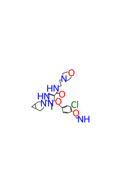 N=COc1ccc(COC2C(C(=O)NCCN3CCOCC3)=CNC(N3CCC4CC4C3)N2I)cc1Cl